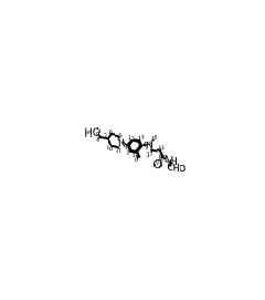 Cc1cc(N2CCC(CO)CC2)ccc1N(C)CCC(=O)NC=O